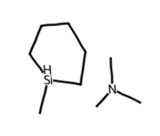 CN(C)C.C[SiH]1CCCCC1